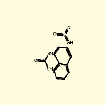 CC(N)=O.N=S(=O)=O.c1ccc2ccccc2c1